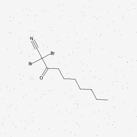 CCCCCCCC(=O)C(Br)(Br)C#N